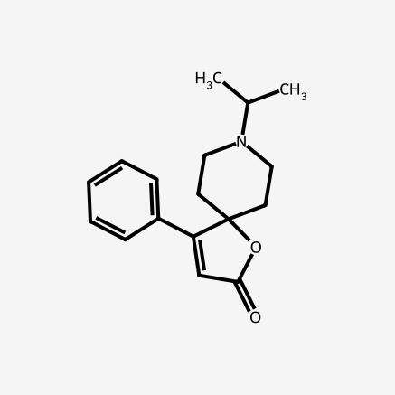 CC(C)N1CCC2(CC1)OC(=O)C=C2c1ccccc1